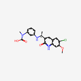 COc1cc2[nH]c(=O)c([C@H](C)Nc3cccc(N(C)C(=O)O)c3)cc2cc1Cl